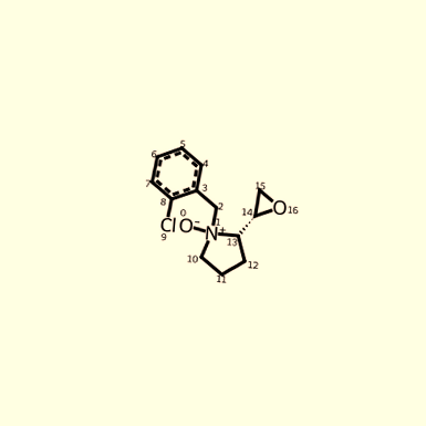 [O-][N+]1(Cc2ccccc2Cl)CCCC1[C@@H]1CO1